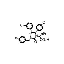 CCC[C@H](C(=O)O)N1C(=O)[C@@H](Cc2ccc(F)cc2)O[C@H](c2cccc(Cl)c2)[C@@H]1c1ccc(Cl)cc1